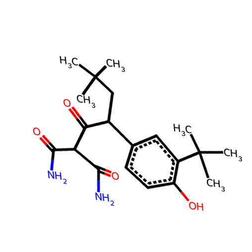 CC(C)(C)CC(C(=O)C(C(N)=O)C(N)=O)c1ccc(O)c(C(C)(C)C)c1